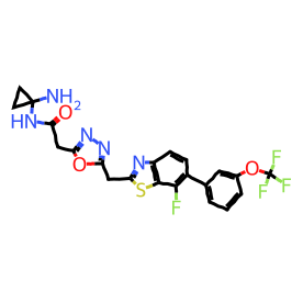 NC1(NC(=O)Cc2nnc(Cc3nc4ccc(-c5cccc(OC(F)(F)F)c5)c(F)c4s3)o2)CC1